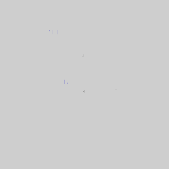 CCCN(CCN)[Si](O[Si](C)(C)C)(O[Si](C)(C)C)O[Si](C)(C)C